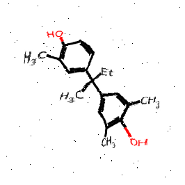 CCC(C)(c1ccc(O)c(C)c1)c1cc(C)c(O)c(C)c1